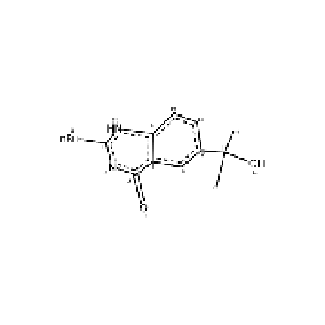 CCCCc1nc(=O)c2cc(C(C)(C)O)ccc2[nH]1